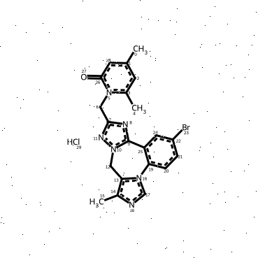 Cc1cc(C)n(Cc2nc3n(n2)Cc2c(C)ncn2-c2ccc(Br)cc2-3)c(=O)c1.Cl